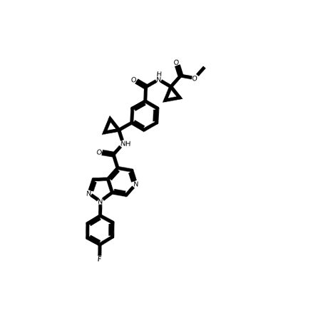 COC(=O)C1(NC(=O)c2cccc(C3(NC(=O)c4cncc5c4cnn5-c4ccc(F)cc4)CC3)c2)CC1